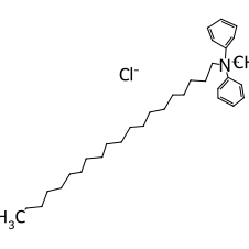 CCCCCCCCCCCCCCCCCCCC[N+](C)(c1ccccc1)c1ccccc1.[Cl-]